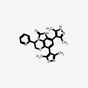 Cc1n[nH]c(C)c1-c1cc(-c2c(C)noc2C)c2c3c1[nH]c(=O)n3C(c1ccccn1)CO2